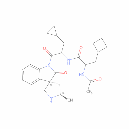 N#C[C@@H]1C[C@@]2(CN1)C(=O)N(C(=O)C(CC1CC1)NC(=O)C(CC1CCC1)NC(=O)C(F)(F)F)c1ccccc12